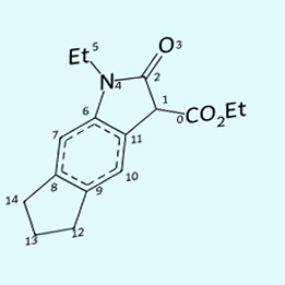 CCOC(=O)C1C(=O)N(CC)c2cc3c(cc21)CCC3